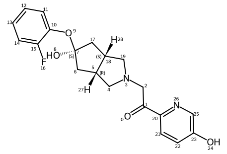 O=C(CN1C[C@@H]2C[C@@](O)(Oc3ccccc3F)C[C@@H]2C1)c1ccc(O)cn1